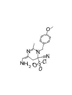 COc1ccc(CN2C(C)=N/C(=C/N)CC2(C#N)S(=O)(=O)Cl)cc1